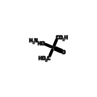 N.O=C(O)P(=O)(O)C(=O)O